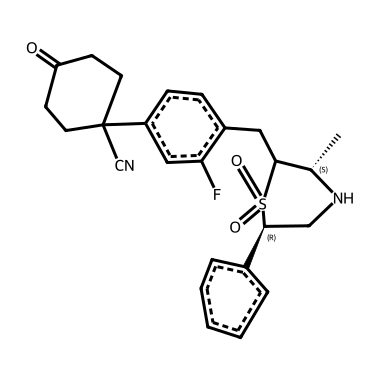 C[C@@H]1NC[C@@H](c2ccccc2)S(=O)(=O)C1Cc1ccc(C2(C#N)CCC(=O)CC2)cc1F